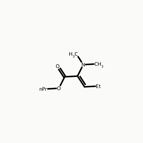 CCC=C(C(=O)OCCC)N(C)C